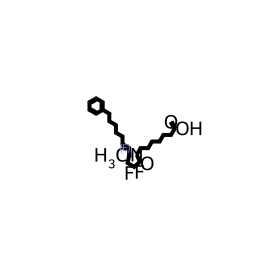 CC1(/C=C/CCCCCc2ccccc2)CC(F)(F)C(=O)N1CCCCCCC(=O)O